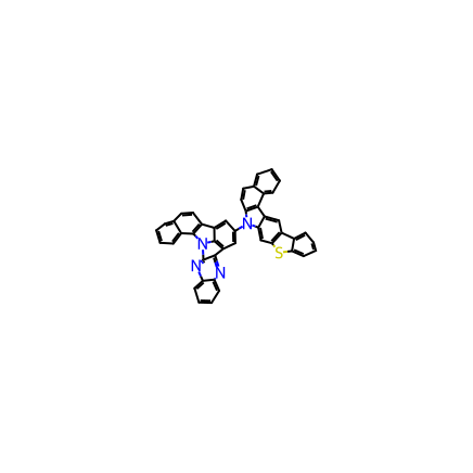 c1ccc2c(c1)ccc1c2c2cc3c(cc2n1-c1cc2c4ccc5ccccc5c4n4c5nc6ccccc6nc5c(c1)c24)sc1ccccc13